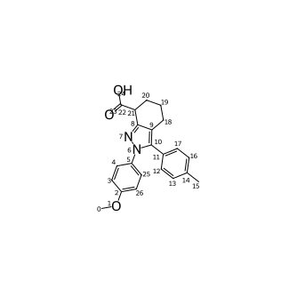 COc1ccc(-n2nc3c(c2-c2ccc(C)cc2)CCCC3C(=O)O)cc1